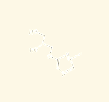 Cc1cncc(OC[C@H](O)CO)n1